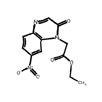 CCOC(=O)Cn1c(=O)cnc2ccc([N+](=O)[O-])cc21